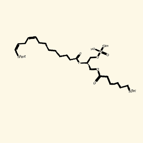 CCCCC/C=C\C/C=C\CCCCCCCC(=O)O[C@H](COC(=O)CCCCCCCCCCCCCCC)COP(=O)(O)O